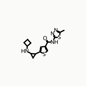 Cc1nnc(NC(=O)c2csc(C3CC3NC3CCC3)c2)s1